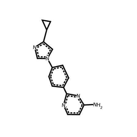 Nc1ccnc(-c2ccc(-n3cnc(C4CC4)c3)cc2)n1